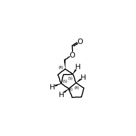 O=COC[C@@H]1C[C@@H]2C[C@H]1[C@@H]1CCC[C@H]21